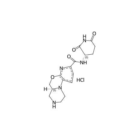 Cl.O=C1CC[C@H](NC(=O)c2ccc3c(n2)OC[C@@H]2CNCCN32)C(=O)N1